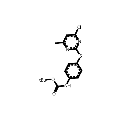 Cc1cc(Cl)nc(Sc2ccc(NC(=O)OC(C)(C)C)cc2)n1